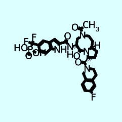 CC(=O)N1CC[C@H]2CC[C@@H](C(=O)N3CCc4cc(F)ccc4C3)N2C(=O)[C@@H](NC(=O)c2cc3cc(C(F)(F)P(=O)(O)O)ccc3[nH]2)C1